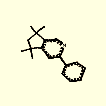 CC1(C)CC(C)(C)c2cc(-c3ccccc3)ncc21